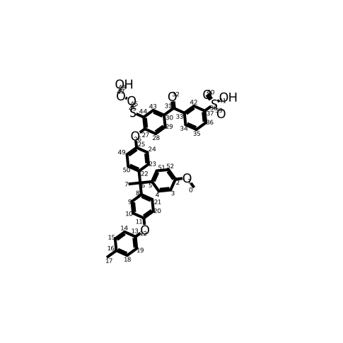 COc1ccc(C(C)(c2ccc(Oc3ccc(C)cc3)cc2)c2ccc(Oc3ccc(C(=O)c4cccc(S(=O)(=O)O)c4)cc3SOOO)cc2)cc1